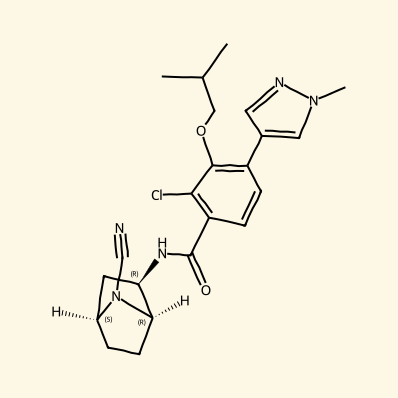 CC(C)COc1c(-c2cnn(C)c2)ccc(C(=O)N[C@@H]2C[C@@H]3CC[C@H]2N3C#N)c1Cl